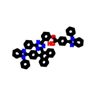 OB(Oc1cccc(-c2nc(-c3ccccc3)nc(-c3c(-c4ccc(-c5nc6ccccc6n5-c5ccccc5)cc4)c4ccccc4c4ccccc34)n2)c1)c1ccc(-c2nc3ccccc3n2-c2ccccc2)cc1